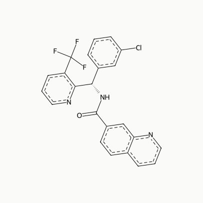 O=C(N[C@@H](c1cccc(Cl)c1)c1ncccc1C(F)(F)F)c1ccc2cccnc2c1